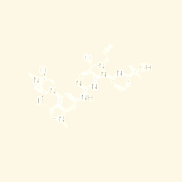 C=CCn1c(=O)c2cnc(Nc3cc(N4C[C@@H]5C[C@H]4CN5C)c4ccn(C)c4c3)nc2n1-c1cccc(C(C)(C)O)n1